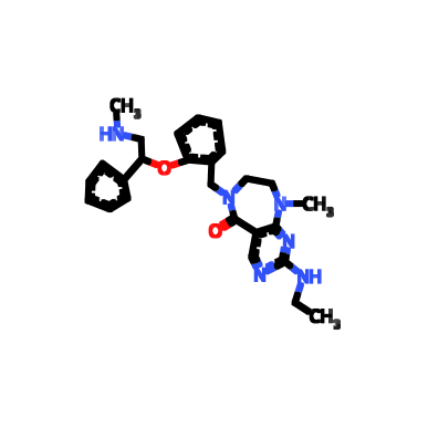 CCNc1ncc2c(n1)N(C)CCN(Cc1ccccc1OC(CNC)c1ccccc1)C2=O